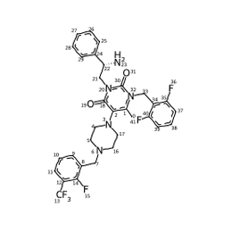 Cc1c(N2CCN(Cc3cccc(C(F)(F)F)c3F)CC2)c(=O)n(C[C@@H](N)c2ccccc2)c(=O)n1Cc1c(F)cccc1F